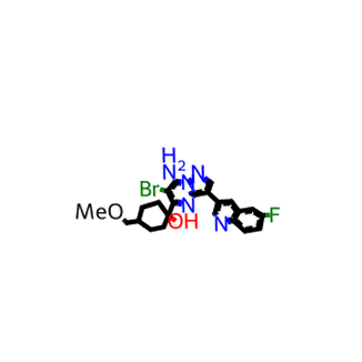 COCC1CCC(O)(c2nc3c(-c4cnc5ccc(F)cc5c4)cnn3c(N)c2Br)CC1